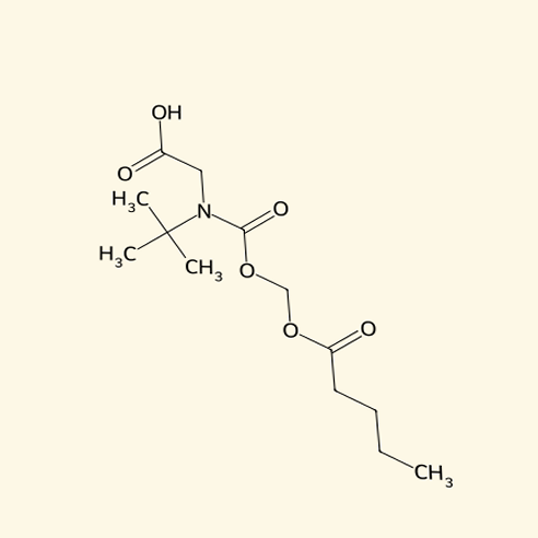 CCCCC(=O)OCOC(=O)N(CC(=O)O)C(C)(C)C